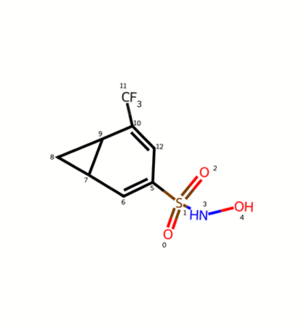 O=S(=O)(NO)C1=CC2CC2C(C(F)(F)F)=C1